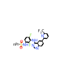 CCCS(=O)(=O)Nc1ccc(F)c(Nc2ncnc3ccc(-c4cccc(C(F)(F)F)n4)cc23)c1F